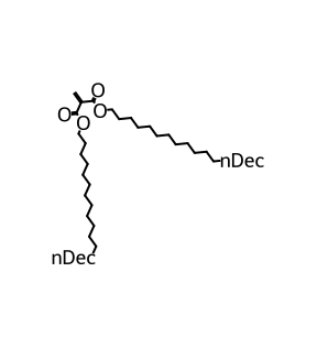 C=C(C(=O)OCCCCCCCCCCCCCCCCCCCCCC)C(=O)OCCCCCCCCCCCCCCCCCCCCCC